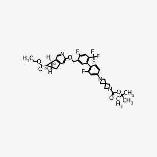 CCOC(=O)[C@H]1[C@@H]2Cc3cc(OCc4cc(-c5ccc(N6CC7(CN(C(=O)OC(C)(C)C)C7)C6)cc5F)c(C(F)(F)F)cc4F)ncc3[C@@H]21